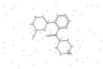 O=C(c1ccccc1N1CCOC(F)C1)C1CCNCC1